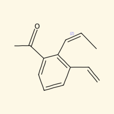 C=Cc1cccc(C(C)=O)c1/C=C\C